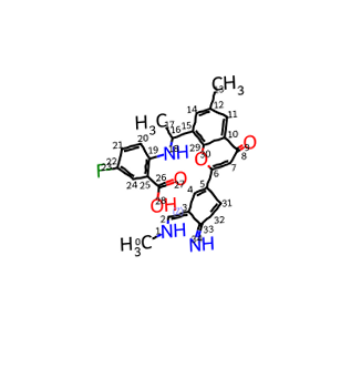 CN/C=C1/C=C(c2cc(=O)c3cc(C)cc(C(C)Nc4ccc(F)cc4C(=O)O)c3o2)C=CC1=N